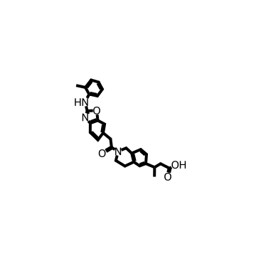 Cc1ccccc1Nc1nc2ccc(CC(=O)N3CCc4cc(C(C)CC(=O)O)ccc4C3)cc2o1